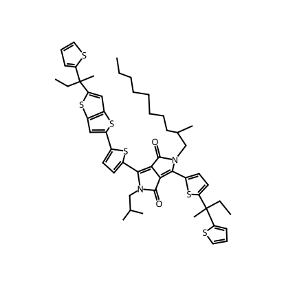 CCCCCCCCC(C)CN1C(=O)C2=C(c3ccc(-c4cc5sc(C(C)(CC)c6cccs6)cc5s4)s3)N(CC(C)C)C(=O)C2=C1c1ccc(C(C)(CC)c2cccs2)s1